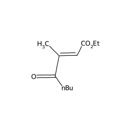 CCCCC(=O)C(C)=CC(=O)OCC